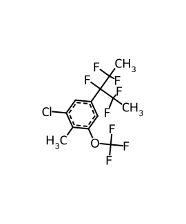 Cc1c(Cl)cc(C(F)(C(C)(F)F)C(C)(F)F)cc1OC(F)(F)F